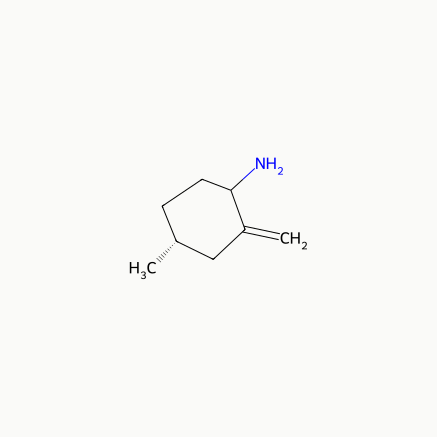 C=C1C[C@H](C)CCC1N